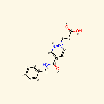 O=C(O)CC[n+]1ccc(C(=O)NCc2ccccc2)cn1